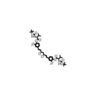 COc1cc(/C=C/C(=O)CC(=O)/C=C/c2ccc(OC(=O)[C@@H](NC(=O)OC(C)(C)C)C(C)C)c(OC)c2)ccc1OC(=O)C(NC(=O)OC(C)(C)C)C(C)C